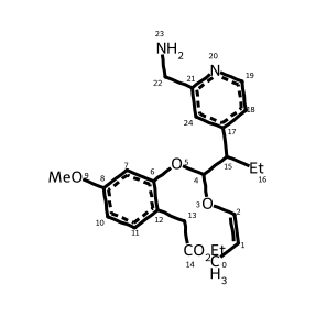 C/C=C\OC(Oc1cc(OC)ccc1CC(=O)OCC)C(CC)c1ccnc(CN)c1